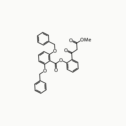 COC(=O)CC(=O)c1ccccc1OC(=O)c1c(OCc2ccccc2)cccc1OCc1ccccc1